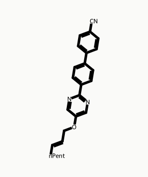 CCCCCC=CCOc1cnc(-c2ccc(-c3ccc(C#N)cc3)cc2)nc1